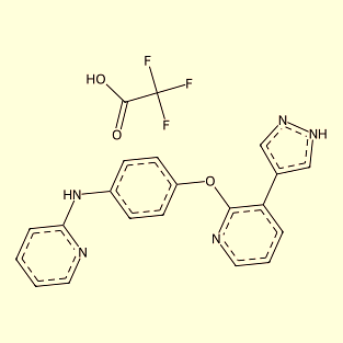 O=C(O)C(F)(F)F.c1ccc(Nc2ccc(Oc3ncccc3-c3cn[nH]c3)cc2)nc1